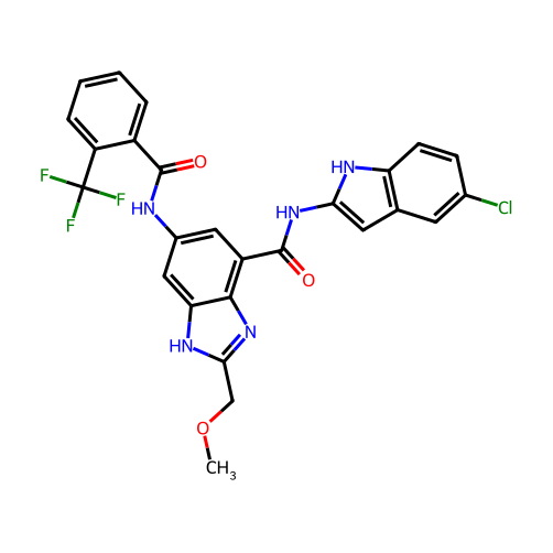 COCc1nc2c(C(=O)Nc3cc4cc(Cl)ccc4[nH]3)cc(NC(=O)c3ccccc3C(F)(F)F)cc2[nH]1